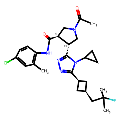 CC(=O)N1C[C@H](C(=O)Nc2ccc(Cl)cc2C)[C@@H](c2nnc([C@H]3C[C@@H](CC(C)(C)F)C3)n2C2CC2)C1